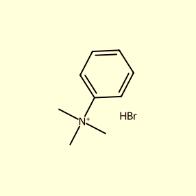 Br.C[N+](C)(C)c1ccccc1